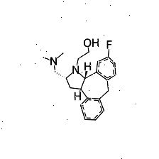 CN(C)C[C@H]1C[C@@H]2c3ccccc3Cc3ccc(F)cc3[C@H]2N1CCO